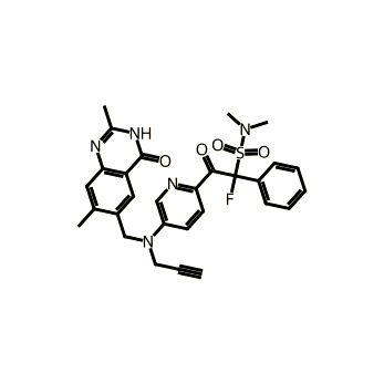 C#CCN(Cc1cc2c(=O)[nH]c(C)nc2cc1C)c1ccc(C(=O)C(F)(c2ccccc2)S(=O)(=O)N(C)C)nc1